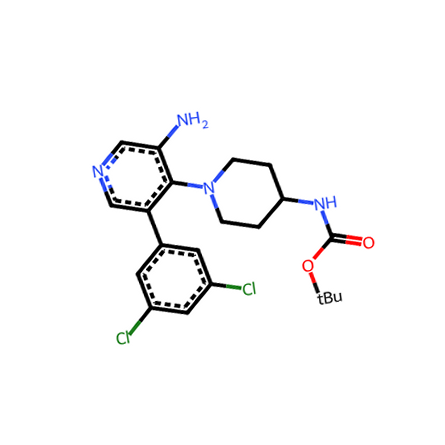 CC(C)(C)OC(=O)NC1CCN(c2c(N)cncc2-c2cc(Cl)cc(Cl)c2)CC1